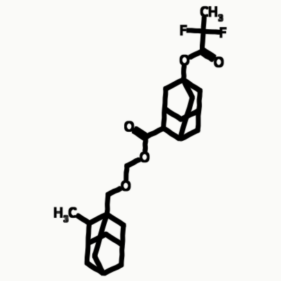 CC1C2CC3CC(C2)CC1(COCOC(=O)C1C2CC4CC1CC(OC(=O)C(C)(F)F)(C4)C2)C3